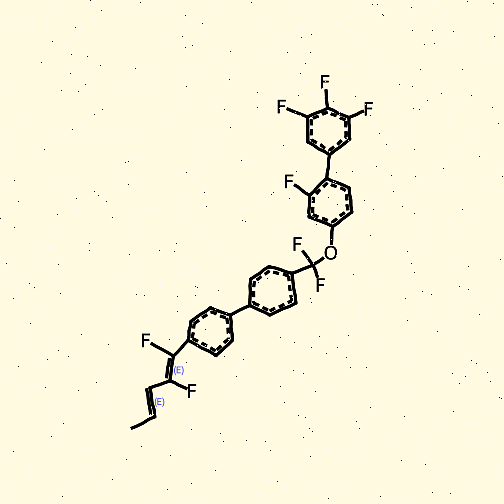 C/C=C/C(F)=C(\F)c1ccc(-c2ccc(C(F)(F)Oc3ccc(-c4cc(F)c(F)c(F)c4)c(F)c3)cc2)cc1